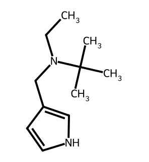 CCN(Cc1cc[nH]c1)C(C)(C)C